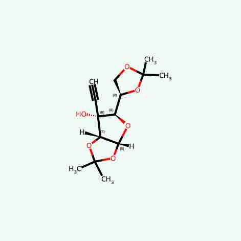 C#C[C@@]1(O)[C@@H]([C@H]2COC(C)(C)O2)O[C@@H]2OC(C)(C)O[C@@H]21